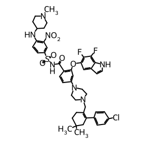 CN1CCC(Nc2ccc(S(=O)(=O)NC(=O)c3ccc(N4CCN(CC5=C(c6ccc(Cl)cc6)CC(C)(C)CC5)CC4)cc3Oc3cc4cc[nH]c4c(F)c3F)cc2[N+](=O)[O-])CC1